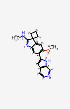 CNC1=Nc2cc(-c3cc4ccncc4[nH]3)c(OC)cc2C12CCC2